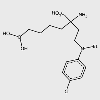 CCN(CCC(N)(CCCCB(O)O)C(=O)O)c1ccc(Cl)cc1